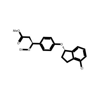 CCO[C@@H](CC(=O)OC)c1ccc(O[C@H]2CCc3c(Cl)cccc32)cc1